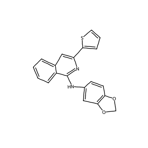 c1csc(-c2cc3ccccc3c(Nc3ccc4c(c3)OCO4)n2)c1